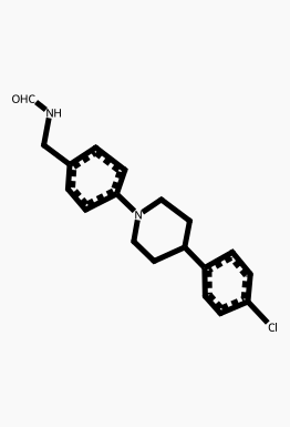 O=CNCc1ccc(N2CCC(c3ccc(Cl)cc3)CC2)cc1